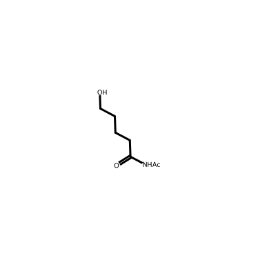 CC(=O)NC(=O)CCCCO